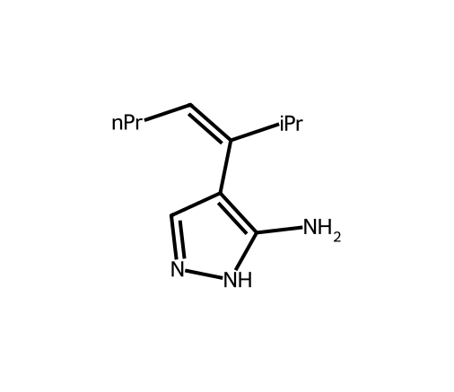 CCC/C=C(\c1cn[nH]c1N)C(C)C